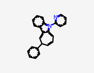 C1=CC(c2ccccc2)C=c2c(n(-c3ccccn3)c3ccccc23)=C1